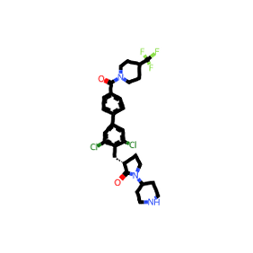 O=C(c1ccc(-c2cc(Cl)c(C[C@@H]3CCN(C4CCNCC4)C3=O)c(Cl)c2)cc1)N1CCC(C(F)(F)F)CC1